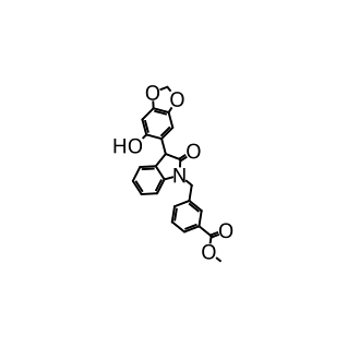 COC(=O)c1cccc(CN2C(=O)C(c3cc4c(cc3O)OCO4)c3ccccc32)c1